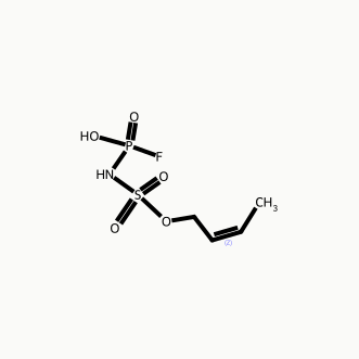 C/C=C\COS(=O)(=O)NP(=O)(O)F